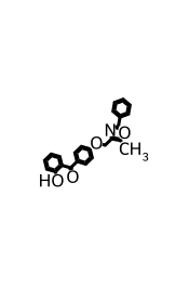 Cc1oc(-c2ccccc2)nc1COc1ccc(C(=O)c2ccccc2O)cc1